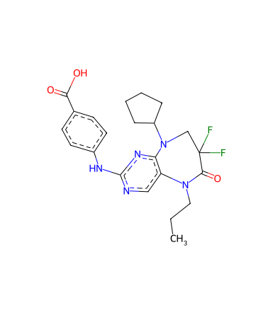 CCCN1C(=O)C(F)(F)CN(C2CCCC2)c2nc(Nc3ccc(C(=O)O)cc3)ncc21